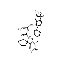 C=C(C)OC(=O)NC1(C(=O)N[C@@H](Cc2ccc(-c3ccc4c(c3)CN(C)S4(=O)=O)cc2)C(N)=O)CCOCC1